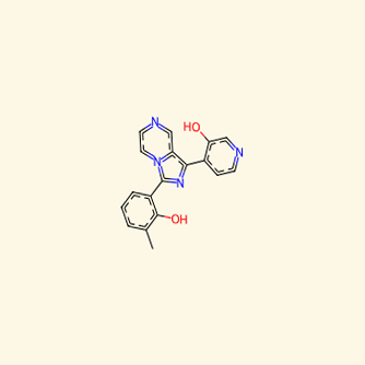 Cc1cccc(-c2nc(-c3ccncc3O)c3cnccn23)c1O